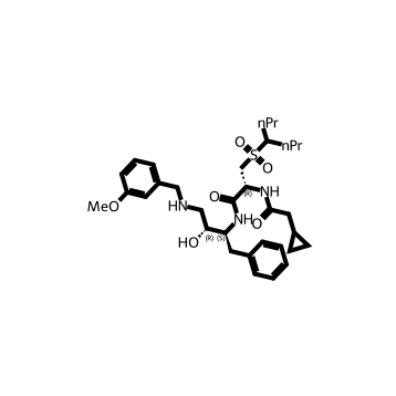 CCCC(CCC)S(=O)(=O)C[C@H](NC(=O)CC1CC1)C(=O)N[C@@H](Cc1ccccc1)[C@H](O)CNCc1cccc(OC)c1